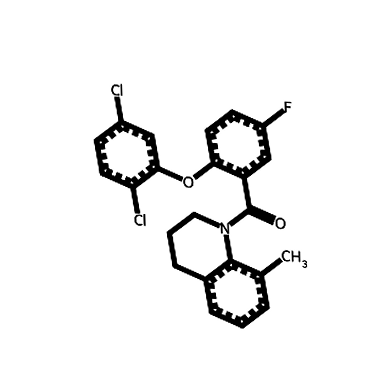 Cc1cccc2c1N(C(=O)c1cc(F)ccc1Oc1cc(Cl)ccc1Cl)CCC2